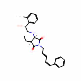 COc1ccccc1[C@@H](O)[C@H]1CC[C@H]2C(=O)N(C/C=C/C=C\c3ccccc3)C(=O)[C@H]2N1